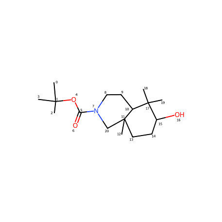 CC(C)(C)OC(=O)N1CCC2C(C)(CCC(O)C2(C)C)C1